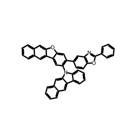 c1ccc(-c2nc3cc(-c4cc5oc6cc7ccccc7cc6c5cc4-n4c5ccccc5c5cc6ccccc6cc54)ccc3o2)cc1